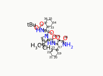 CC(C)(C)OC(=O)N[C@H](C(=O)N1CC2C([C@H]1C(=O)NC(CC1CCCCC1)C(=O)C(N)=O)C2(C)C)C1CCCCC1